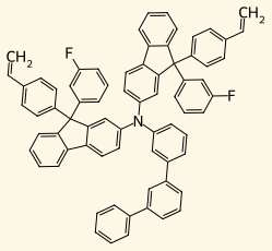 C=Cc1ccc(C2(c3cccc(F)c3)c3ccccc3-c3ccc(N(c4cccc(-c5cccc(-c6ccccc6)c5)c4)c4ccc5c(c4)C(c4ccc(C=C)cc4)(c4cccc(F)c4)c4ccccc4-5)cc32)cc1